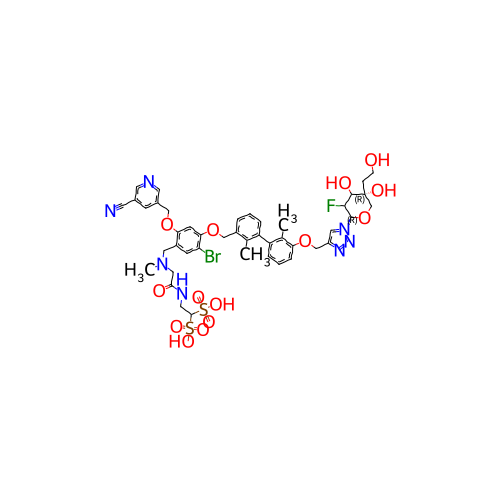 Cc1c(COc2cc(OCc3cncc(C#N)c3)c(CN(C)CC(=O)NCC(S(=O)(=O)O)S(=O)(=O)O)cc2Br)cccc1-c1cccc(OCc2cn([C@@H]3OC[C@](O)(CCO)C(O)C3F)nn2)c1C